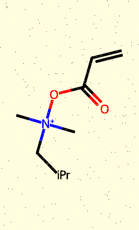 C=CC(=O)O[N+](C)(C)CC(C)C